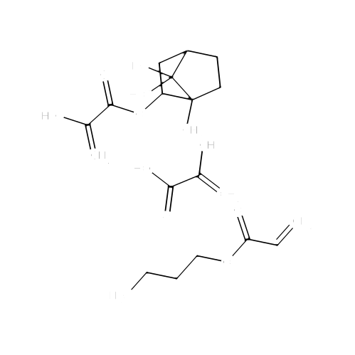 C=C(C)C(=O)O.C=C(C)C(=O)OC1CC2CCC1(C)C2(C)C.C=CC(=O)OCCCC